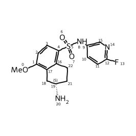 COc1ccc(S(=O)(=O)Nc2ccc(F)nc2)c2c1C[C@@H](N)CC2